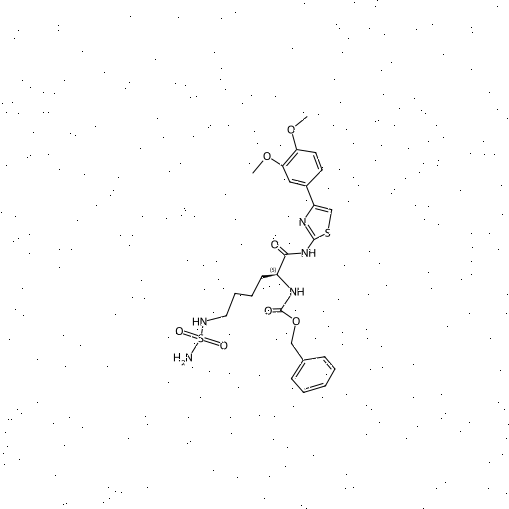 COc1ccc(-c2csc(NC(=O)[C@H](CCCCNS(N)(=O)=O)NC(=O)OCc3ccccc3)n2)cc1OC